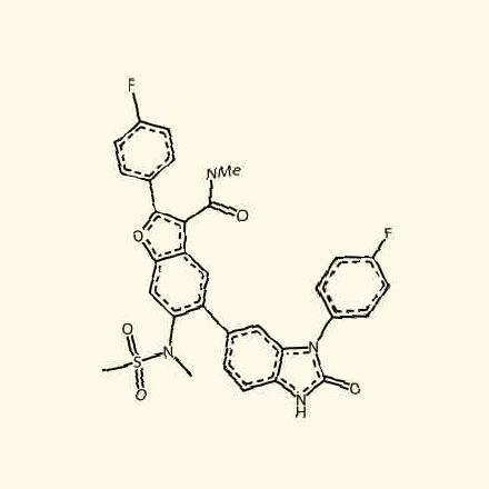 CNC(=O)c1c(-c2ccc(F)cc2)oc2cc(N(C)S(C)(=O)=O)c(-c3ccc4[nH]c(=O)n(-c5ccc(F)cc5)c4c3)cc12